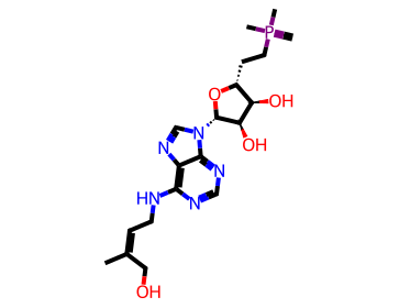 C=P(C)(C)CC[C@H]1O[C@@H](n2cnc3c(NC/C=C(/C)CO)ncnc32)[C@H](O)[C@@H]1O